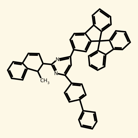 CC1c2ccccc2C=CC1c1nc(-c2ccc(-c3ccccc3)cc2)cc(-c2ccc3c(c2)C2(c4ccccc4-c4ccccc42)c2ccccc2-3)n1